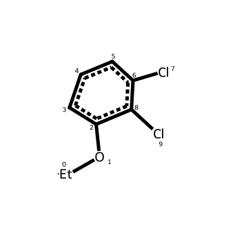 C[CH]Oc1cccc(Cl)c1Cl